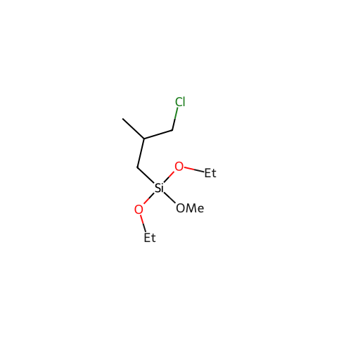 CCO[Si](CC(C)CCl)(OC)OCC